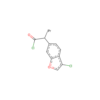 CC(C)C(C(=O)Cl)c1ccc2c(Cl)coc2c1